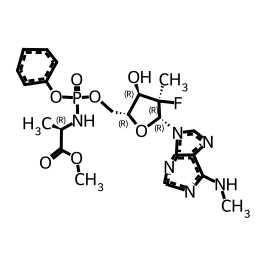 CNc1ncnc2c1ncn2[C@@H]1O[C@H](COP(=O)(N[C@H](C)C(=O)OC)Oc2ccccc2)[C@@H](O)[C@@]1(C)F